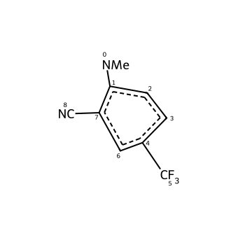 CNc1ccc(C(F)(F)F)cc1C#N